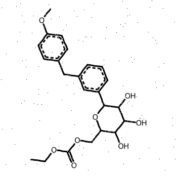 CCOC(=O)OCC1OC(c2cccc(Cc3ccc(OC)cc3)c2)C(O)C(O)C1O